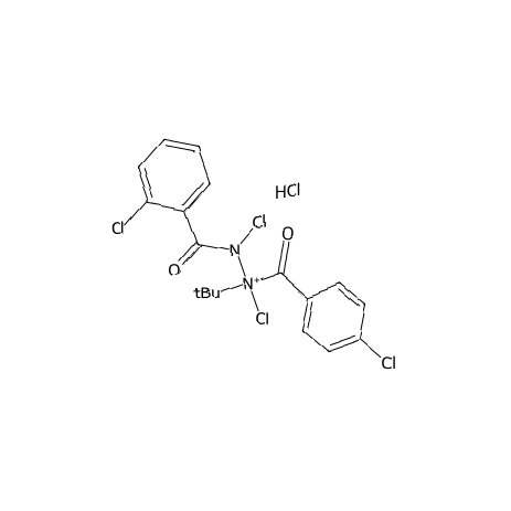 CC(C)(C)[N+](Cl)(C(=O)c1ccc(Cl)cc1)N(Cl)C(=O)c1ccccc1Cl.Cl